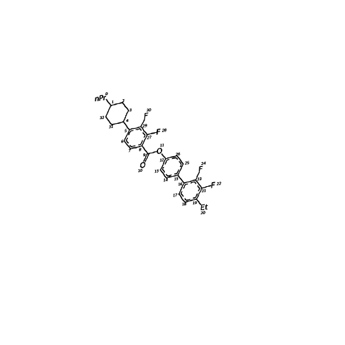 CCCC1CCC(c2ccc(C(=O)Oc3ccc(-c4ccc(CC)c(F)c4F)cc3)c(F)c2F)CC1